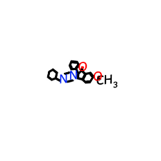 COc1ccc2c(c1)C(=O)C(c1ccccc1)(N1CCN(CC3CCCCC3)CC1)C2